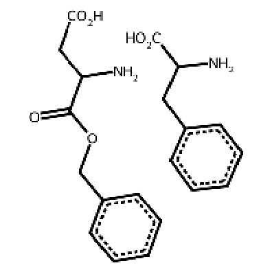 NC(CC(=O)O)C(=O)OCc1ccccc1.NC(Cc1ccccc1)C(=O)O